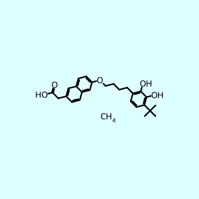 C.CC(C)(C)c1ccc(CCCCOc2ccc3cc(CC(=O)O)ccc3c2)c(O)c1O